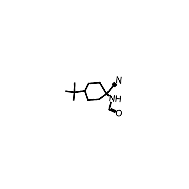 CC(C)(C)C1CCC(C#N)(NC=O)CC1